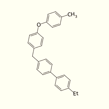 CCc1ccc(-c2ccc(Cc3ccc(Oc4ccc(C)cc4)cc3)cc2)cc1